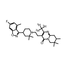 [2H]C([2H])([2H])c1nc2n(c(=O)c1CCN1CCC(c3noc4cc(F)cc(C)c34)CC1(C)C)CC(C)(C)C(C)C2